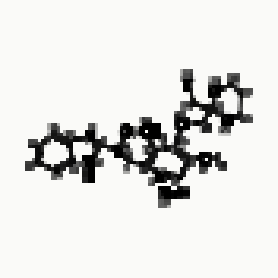 Cc1cnc(C[S+]([O-])c2nc3ccccc3[nH]2)c(C)c1OCC1(CF)OCCCO1.[NaH]